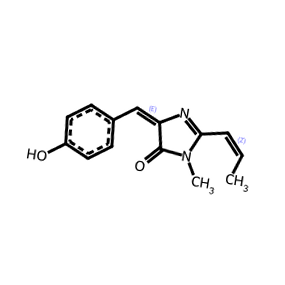 C/C=C\C1=NC(=C/c2ccc(O)cc2)/C(=O)N1C